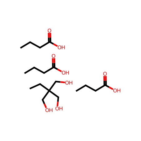 CCC(CO)(CO)CO.CCCC(=O)O.CCCC(=O)O.CCCC(=O)O